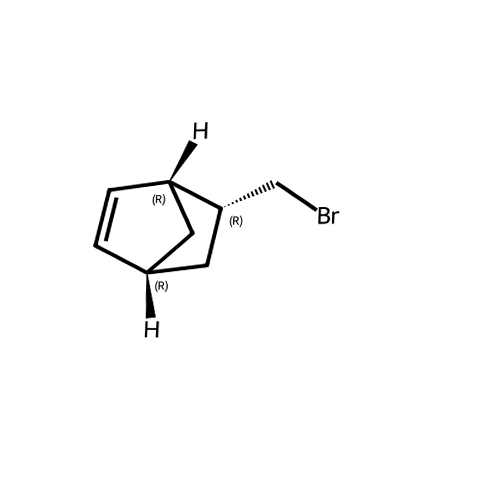 BrC[C@@H]1C[C@@H]2C=C[C@H]1C2